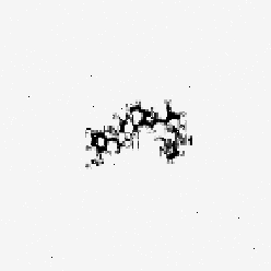 C=C(O)[C@@H](NC(=O)[C@@H](C)N1CCc2sc(-c3nc(Nc4ccnn4C)ncc3C)cc2C1=O)c1cc(F)cc(OC)c1